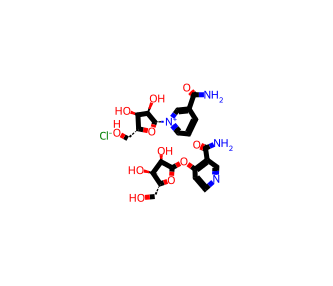 NC(=O)c1ccc[n+]([C@@H]2O[C@H](CO)[C@@H](O)[C@H]2O)c1.NC(=O)c1cnccc1OC1O[C@H](CO)[C@@H](O)[C@H]1O.[Cl-]